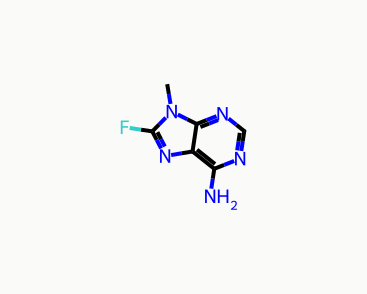 Cn1c(F)nc2c(N)ncnc21